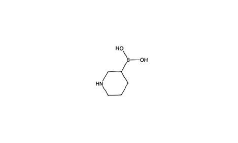 OB(O)C1CCCNC1